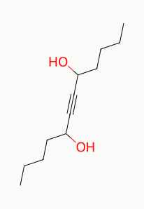 CCCCC(O)C#CC(O)CCCC